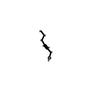 [CH2]CCC#CC[O]